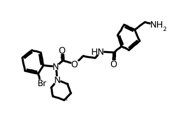 NCc1ccc(C(=O)NCCOC(=O)N(c2ccccc2Br)N2CC[CH]CC2)cc1